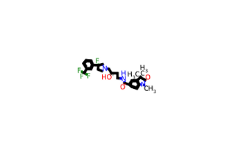 CN1C(=O)C(C)(C)c2cc(C(=O)NCC[C@@H](O)CN3CCC(F)(c4cccc(C(F)(F)F)c4)C3)ccc21